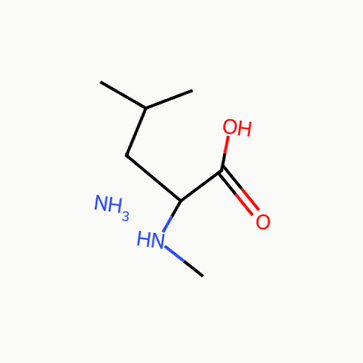 CNC(CC(C)C)C(=O)O.N